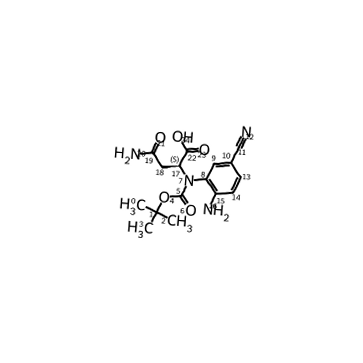 CC(C)(C)OC(=O)N(c1cc(C#N)ccc1N)[C@@H](CC(N)=O)C(=O)O